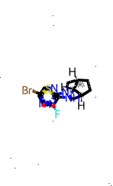 Fc1cccnc1N[C@@H]1[C@@H]2CC[C@H]1CN(c1nnc(Br)s1)C2